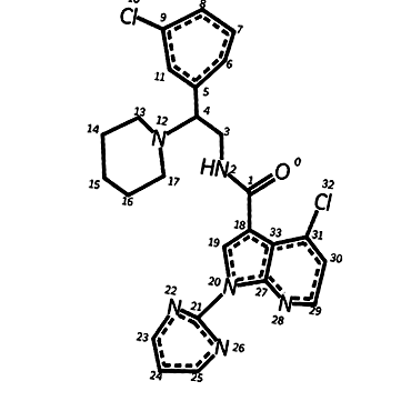 O=C(NCC(c1cccc(Cl)c1)N1CCCCC1)c1cn(-c2ncccn2)c2nccc(Cl)c12